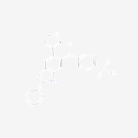 CCS(=O)(=O)c1ccc(Oc2cc3[nH]c(-c4ccccn4)nc3cc2C2CCOC2=O)cn1